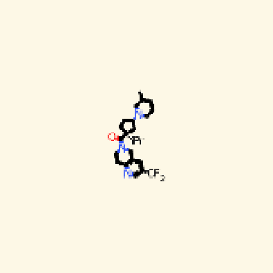 CC1CCCN(C2CC[C@@](C(=O)N3CCc4ncc(C(F)(F)F)cc4C3)(C(C)C)C2)C1